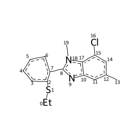 CCSc1ccccc1-c1nc2cc(C)cc(Cl)c2n1C